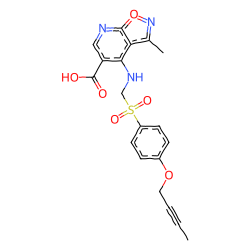 CC#CCOc1ccc(S(=O)(=O)CNc2c(C(=O)O)cnc3onc(C)c23)cc1